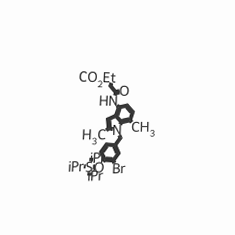 CCOC(=O)CC(=O)Nc1ccc(C)c2c1cc(C)n2Cc1ccc(O[Si](C(C)C)(C(C)C)C(C)C)c(Br)c1